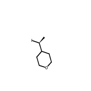 C[C@H](I)C1CCOCC1